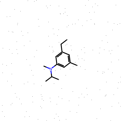 CCc1cc(C)cc(N(C)C(C)C)c1